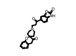 O=C(CCN1CCC2(CC1)Oc1ccccc1CC2=O)c1ccc2[nH]c(=O)oc2c1